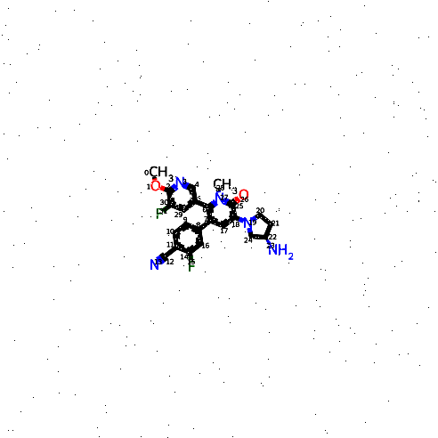 COc1ncc(-c2c(-c3ccc(C#N)c(F)c3)cc(N3CC[C@@H](N)C3)c(=O)n2C)cc1F